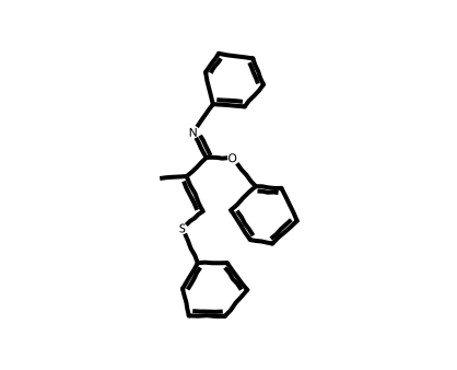 CC(=C\Sc1ccccc1)/C(=N/c1ccccc1)Oc1ccccc1